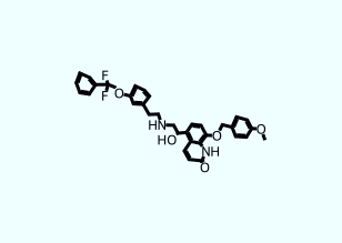 COc1ccc(COc2ccc([C@@H](O)CNCCc3cccc(OCC(F)(F)c4ccccc4)c3)c3ccc(=O)[nH]c23)cc1